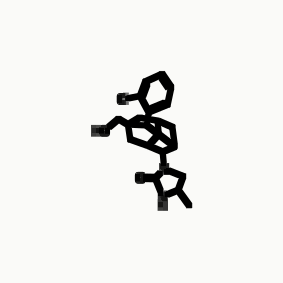 CC1CN(C2C3CC4CC2C(c2ccccc2Cl)C(CO)(C4)C3)C(=O)N1